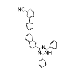 N#Cc1cccc(-c2ccc(-c3ccc4ccc(C5=NC(c6ccccc6)NC(c6ccccc6)=N5)cc4c3)cc2)c1